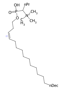 CCCCCCCCCCCCCCCCCCCC/C=C\CCOP(=O)(O)C(CCC)[N+](C)(C)C